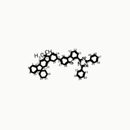 CC1(C)C2=CC3c4ccccc4C4(CCCCC4)C3C=C2C2=C1C=CC(c1ccc3sc4c(-c5nc(-c6ccccc6)nc(-c6ccccc6)n5)cccc4c3c1)C2